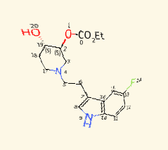 CCOC(=O)O[C@H]1CN(CCc2c[nH]c3ccc(F)cc23)CC[C@@H]1O